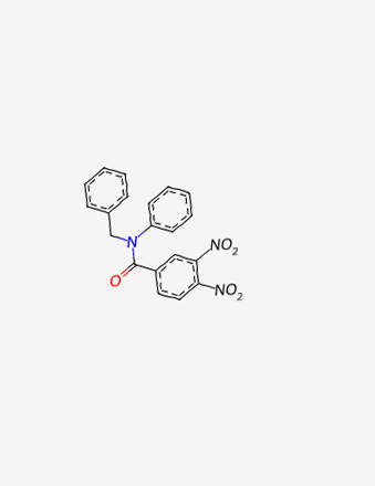 O=C(c1ccc([N+](=O)[O-])c([N+](=O)[O-])c1)N(Cc1ccccc1)c1ccccc1